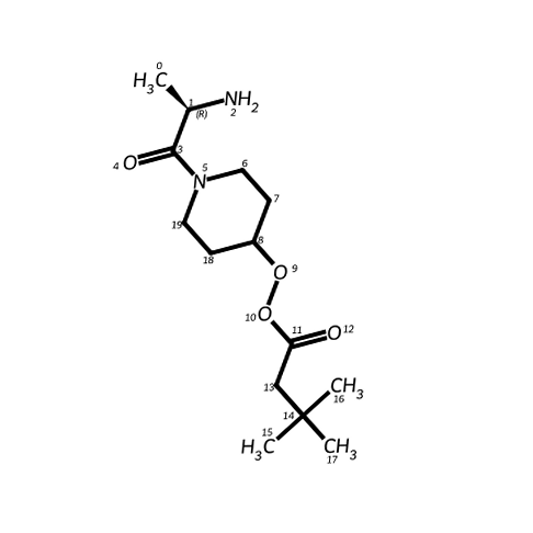 C[C@@H](N)C(=O)N1CCC(OOC(=O)CC(C)(C)C)CC1